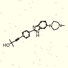 CN1CCN(c2ccc3nc(-c4ccc(C#CC(C)(C)O)cc4)[nH]c3c2)CC1